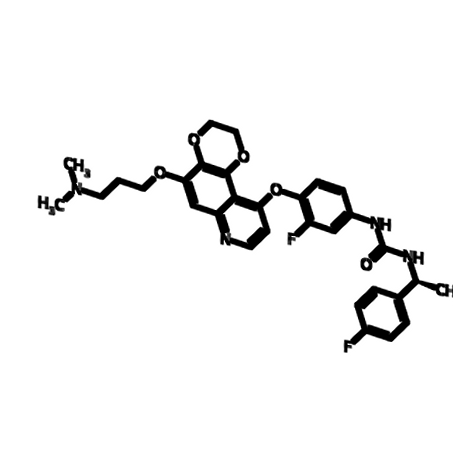 C[C@H](NC(=O)Nc1ccc(Oc2ccnc3cc(OCCCN(C)C)c4c(c23)OCCO4)c(F)c1)c1ccc(F)cc1